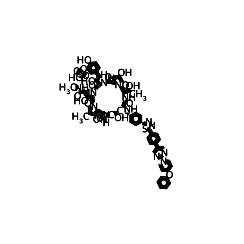 CNC(=O)C[C@@H](O)[C@@H]1NC(=O)[C@H]([C@H](O)Cc2ccc(O)c(OS(=O)(=O)O)c2)NC(=O)[C@@H]2C[C@@H](O)CN2C(=O)[C@H]([C@@H](C)O)NC(=O)[C@@H](NC[C@H]2CC[C@H](c3nnc(-c4ccc(-c5cnc(N6CCC(OC7CCCCC7)CC6)nc5)cc4)s3)CC2)C[C@@H](O)CNC(=O)[C@@H]2[C@@H](O)[C@@H](C)CN2C1=O